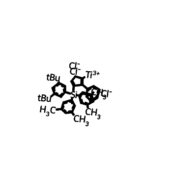 Cc1cc(C)cc([Si](C2=CC[C]([Ti+3])=C2c2ccccc2)(c2cc(C)cc(C)c2)c2cc(C(C)(C)C)cc(C(C)(C)C)c2)c1.[Cl-].[Cl-].[Cl-]